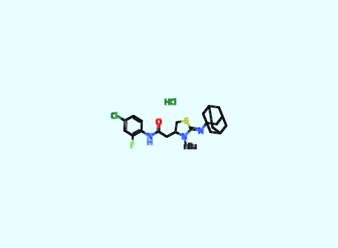 CCCCN1C(=NC23CC4CC(CC(C4)C2)C3)SCC1CC(=O)Nc1ccc(Cl)cc1F.Cl